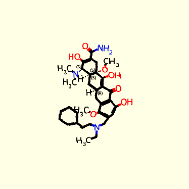 CCN(CCC1CCCCC1)Cc1cc(O)c2c(c1OC)C[C@H]1C[C@H]3[C@H](N(C)C)C(O)=C(C(N)=O)C[C@@]3(OC)C(O)=C1C2=O